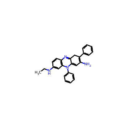 CCNc1ccc2c(c1)N(c1ccccc1)C1=CC(N)=C(c3ccccc3)CC1=N2